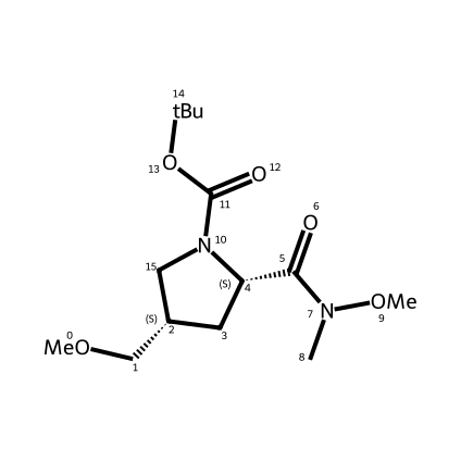 COC[C@H]1C[C@@H](C(=O)N(C)OC)N(C(=O)OC(C)(C)C)C1